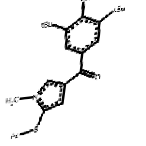 CC(=O)Sc1cc(C(=O)c2cc(C(C)(C)C)c(O)c(C(C)(C)C)c2)cn1C